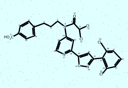 O=C(O)c1ccc(CCCN(C(=O)C(Cl)Cl)c2ccnc(-c3cc(-c4c(Cl)cccc4Cl)no3)c2)cc1